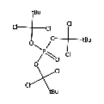 CC(C)(C)C(Cl)(Cl)OP(=O)(OC(Cl)(Cl)C(C)(C)C)OC(Cl)(Cl)C(C)(C)C